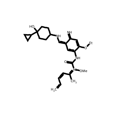 C=C/C=C\C(C)=[N+](\OC)C(=O)NC1=C/C(=C/NC2CCC(O)(C3CC3)CC2)C(=N)C=C1OCC